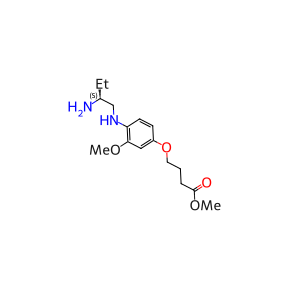 CC[C@H](N)CNc1ccc(OCCCC(=O)OC)cc1OC